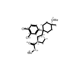 CO[C@]1(C)CC[C@](c2ccc(Cl)c(Cl)c2)([C@@H]2CCN(C(=O)OC(C)(C)C)C2)CC1